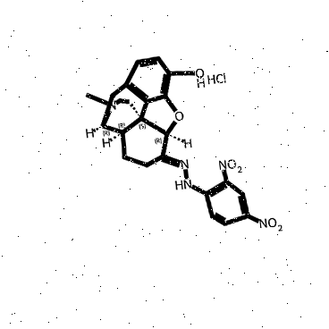 CN1CC[C@]23c4c5ccc(O)c4O[C@H]2C(=NNc2ccc([N+](=O)[O-])cc2[N+](=O)[O-])CC[C@H]3[C@H]1C5.Cl